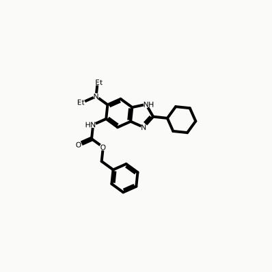 CCN(CC)c1cc2[nH]c(C3CCCCC3)nc2cc1NC(=O)OCc1ccccc1